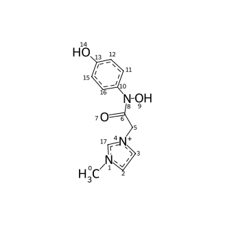 Cn1cc[n+](CC(=O)N(O)c2ccc(O)cc2)c1